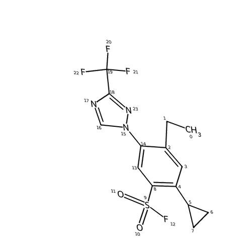 CCc1cc(C2CC2)c(S(=O)(=O)F)cc1-n1cnc(C(F)(F)F)n1